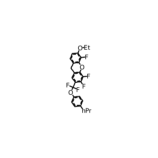 CCCc1ccc(OC(F)(F)c2cc3c(c(F)c2F)Oc2c(ccc(OCC)c2F)C3)cc1